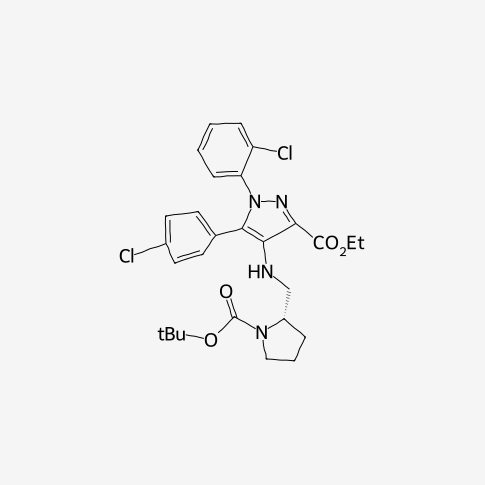 CCOC(=O)c1nn(-c2ccccc2Cl)c(-c2ccc(Cl)cc2)c1NC[C@@H]1CCCN1C(=O)OC(C)(C)C